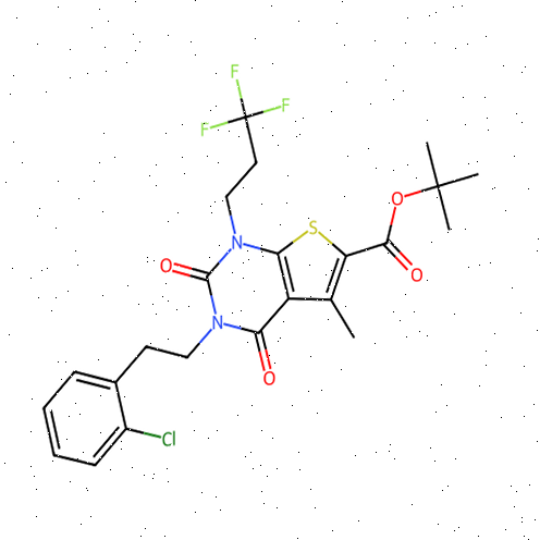 Cc1c(C(=O)OC(C)(C)C)sc2c1c(=O)n(CCc1ccccc1Cl)c(=O)n2CCC(F)(F)F